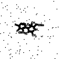 COCC1NC(C)=C(C#N)C(c2ccc(F)c(F)c2OC)C1(C)C(=O)O